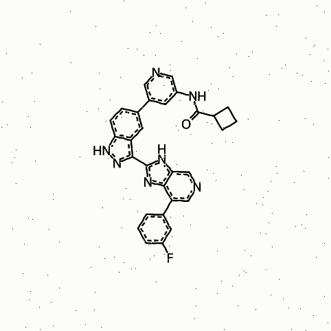 O=C(Nc1cncc(-c2ccc3[nH]nc(-c4nc5c(-c6cccc(F)c6)cncc5[nH]4)c3c2)c1)C1CCC1